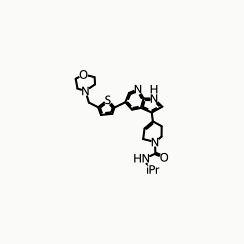 CC(C)NC(=O)N1CC=C(c2c[nH]c3ncc(-c4ccc(CN5CCOCC5)s4)cc23)CC1